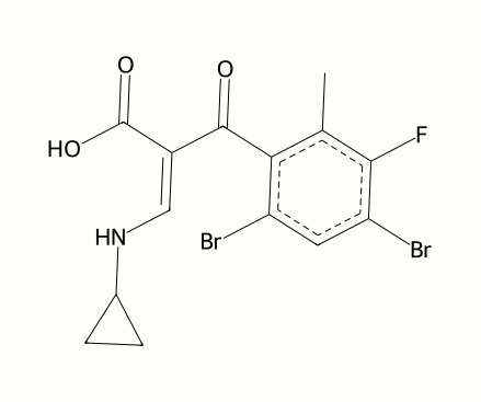 Cc1c(F)c(Br)cc(Br)c1C(=O)C(=CNC1CC1)C(=O)O